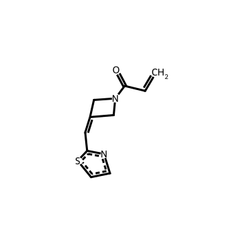 C=CC(=O)N1CC(=Cc2nccs2)C1